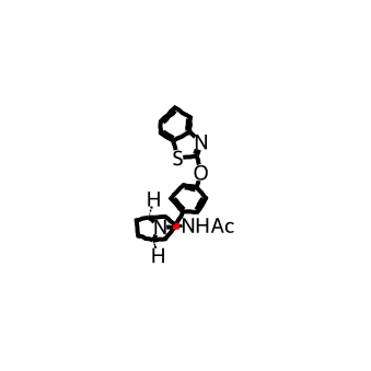 CC(=O)N[C@H]1C[C@H]2CC[C@@H](C1)N2Cc1ccc(Oc2nc3ccccc3s2)cc1